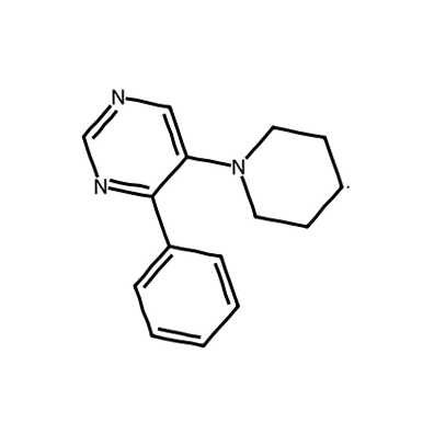 [CH]1CCN(c2cncnc2-c2ccccc2)CC1